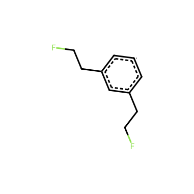 FCCc1c[c]cc(CCF)c1